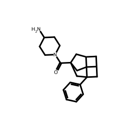 NC1CCN(C(=O)C23CC4CC5CC(c6ccccc6)(C2)C45C3)CC1